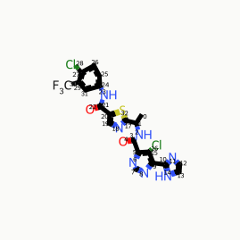 CC(NC(=O)c1ncnc(-c2ncc[nH]2)c1Cl)c1ncc(C(=O)Nc2ccc(Cl)c(C(F)(F)F)c2)s1